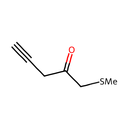 C#CCC(=O)CSC